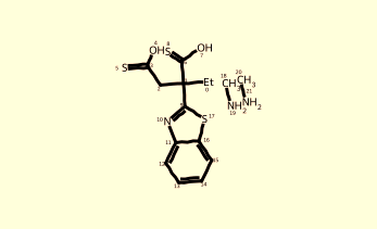 CCC(CC(O)=S)(C(O)=S)c1nc2ccccc2s1.CN.CN